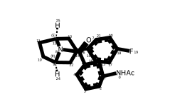 CC(=O)Nc1cccc(C(=O)N2[C@@H]3CC[C@H]2C[C@@H](c2ccc(F)cc2)C3)c1